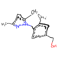 [CH2]c1cc(CO)ccc1-n1nc(C)cc1C